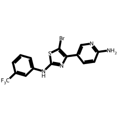 Nc1ccc(-c2nc(Nc3cccc(C(F)(F)F)c3)sc2Br)cn1